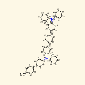 N#Cc1ccc(-c2ccc(-n3c4ccccc4c4cc(-c5ccc(-c6ccc7c(c6)c6ccccc6n7-c6ccccc6)cc5)ccc43)cc2)cc1